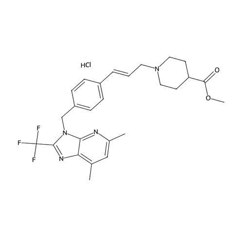 COC(=O)C1CCN(CC=Cc2ccc(Cn3c(C(F)(F)F)nc4c(C)cc(C)nc43)cc2)CC1.Cl